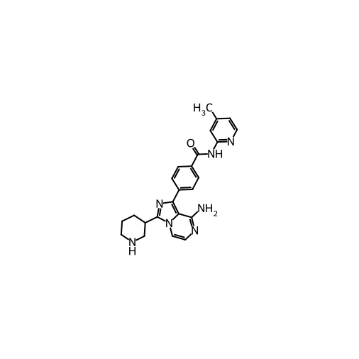 Cc1ccnc(NC(=O)c2ccc(-c3nc(C4CCCNC4)n4ccnc(N)c34)cc2)c1